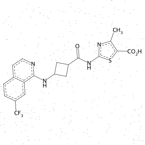 Cc1nc(NC(=O)C2CC(Nc3nccc4ccc(C(F)(F)F)cc34)C2)sc1C(=O)O